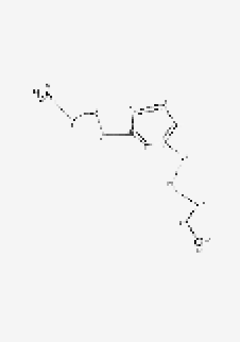 NCCCc1cccc(CCCCO)c1